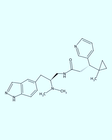 CN(C)[C@H](CNC(=O)C[C@H](c1cccnc1)C1(C)CC1)Cc1ccc2[nH]ncc2c1